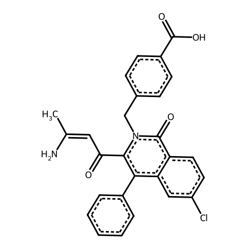 C/C(N)=C/C(=O)c1c(-c2ccccc2)c2cc(Cl)ccc2c(=O)n1Cc1ccc(C(=O)O)cc1